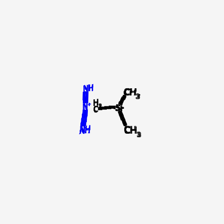 C[Si](C)C.N=[N+]=N